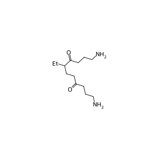 CCC(CCC(=O)CCCN)C(=O)CCCN